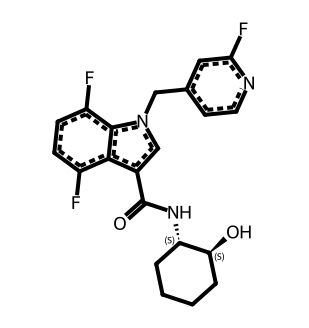 O=C(N[C@H]1CCCC[C@@H]1O)c1cn(Cc2ccnc(F)c2)c2c(F)ccc(F)c12